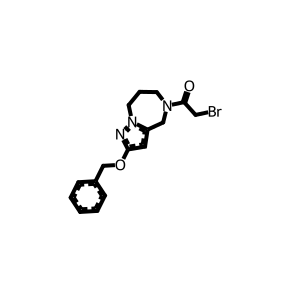 O=C(CBr)N1CCCn2nc(OCc3ccccc3)cc2C1